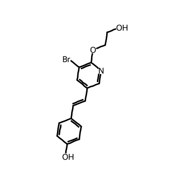 OCCOc1ncc(C=Cc2ccc(O)cc2)cc1Br